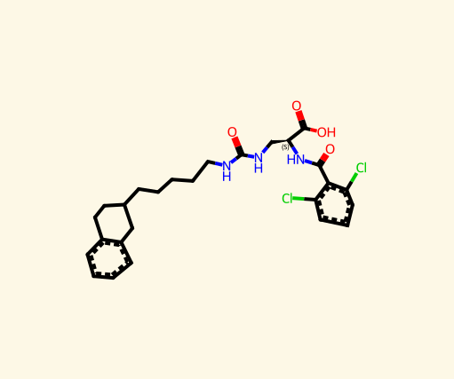 O=C(NCCCCCC1CCc2ccccc2C1)NC[C@H](NC(=O)c1c(Cl)cccc1Cl)C(=O)O